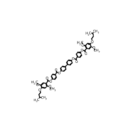 COc1cc(C(=O)Oc2ccc(C(=O)Oc3ccc(-c4ccc(OC(=O)c5ccc(OC(=O)c6cc(OC)c(OCCC(C)C)cc6OC)cc5)cc4)cc3)cc2)c(OC)cc1OCCC(C)C